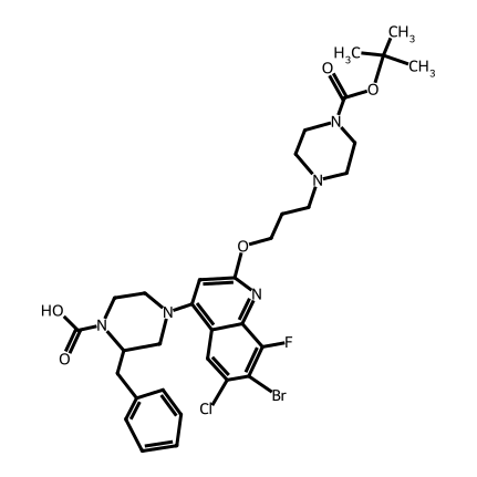 CC(C)(C)OC(=O)N1CCN(CCCOc2cc(N3CCN(C(=O)O)C(Cc4ccccc4)C3)c3cc(Cl)c(Br)c(F)c3n2)CC1